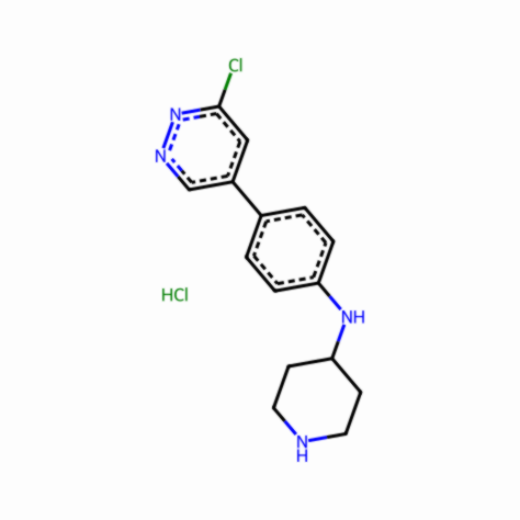 Cl.Clc1cc(-c2ccc(NC3CCNCC3)cc2)cnn1